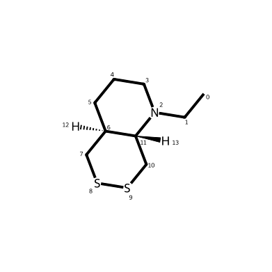 CCN1CCC[C@@H]2CSSC[C@H]21